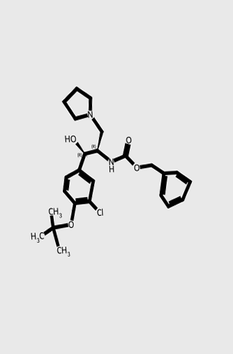 CC(C)(C)Oc1ccc([C@@H](O)[C@@H](CN2CCCC2)NC(=O)OCc2ccccc2)cc1Cl